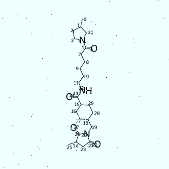 CC1CCN(C(=O)CCCCCNC(=O)C2CCC(CN3C(=O)CC(C)C3=O)CC2)C1